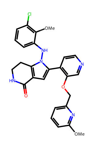 COc1cccc(COc2cnccc2-c2cc3c(n2Nc2cccc(Cl)c2OC)CCNC3=O)n1